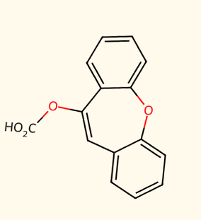 O=C(O)OC1=Cc2ccccc2Oc2ccccc21